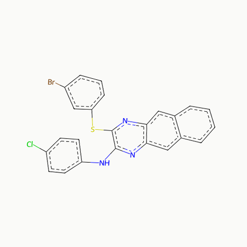 Clc1ccc(Nc2nc3cc4ccccc4cc3nc2Sc2cccc(Br)c2)cc1